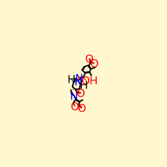 CC1=C(N2CC[C@]3(C[C@H]4CN(C)C[C@@H](C3)N4C[C@H](O)c3ccc4c(c3C)COC4=O)C2=O)COC1=O